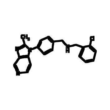 Cc1nc2cnccc2n1-c1ccc(CNCc2ccccc2Cl)cc1